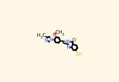 COc1cc(/C=C/c2nc3cc(S)ccc3c(=O)[nH]2)ccc1-n1cnc(C)c1